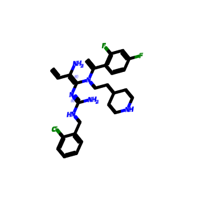 C=C/C(N)=C(\N=C(/N)NCc1ccccc1Cl)N(CCC1CCNCC1)C(=C)c1ccc(F)cc1F